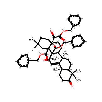 CC1(C)CC[C@]2(C(=O)C(=O)OCc3ccccc3)CC[C@]3(C)C(C(=O)OCc4ccccc4)(C(=O)C=C4[C@@]5(C)CCC(=O)C(C)(C)C5CC[C@]43C)C2(C(=O)OCc2ccccc2)C1